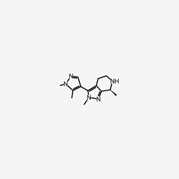 Cc1c(-c2c3c(nn2C)[C@H](C)NCC3)cnn1C